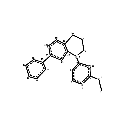 CSc1nccc(N2CCCc3cnc(-c4ccccc4)cc32)n1